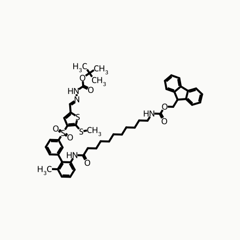 CSc1sc(C=NNC(=O)OC(C)(C)C)cc1S(=O)(=O)c1cccc(-c2c(C)cccc2NC(=O)CCCCCCCCCCNC(=O)OCC2c3ccccc3-c3ccccc32)c1